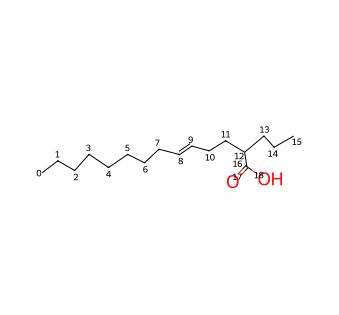 CCCCCCCCC=CCCC(CCC)C(=O)O